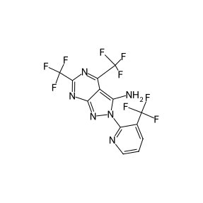 Nc1c2c(C(F)(F)F)nc(C(F)(F)F)nc2nn1-c1ncccc1C(F)(F)F